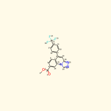 COC(=O)c1ccc2c(-c3ccc(C(F)(F)F)cc3)cc3nncn3c2c1